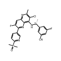 Cc1nc2cc(F)c(-c3ccc(P(C)(C)=O)nc3)nc2c(N[C@H](C)c2cc(F)cc(C#N)c2)c1Cl